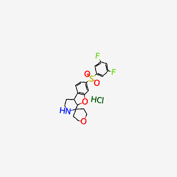 Cl.O=S(=O)(c1cc(F)cc(F)c1)c1ccc2c(c1)OC1C2CCNC12CCOCC2